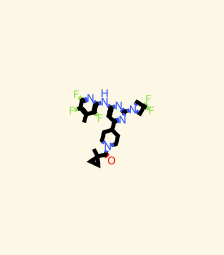 Cc1c(F)c(F)nc(Nc2cc(C3CCN(C(=O)C4(C)CC4)CC3)nc(N3CC(F)(F)C3)n2)c1F